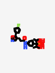 CC(C)C(c1ccc(NC(=O)CCc2cnoc2-c2ccc(F)cc2)cc1)(C(C)C)P(=O)(O)O